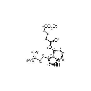 CCOC(=O)CCCC(=O)Oc1cccc2[nH]cc(CCN(C(C)C)C(C)C)c12